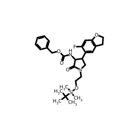 CC(C)(C)[Si](C)(C)OCCN1CC(c2cc3c(cc2F)OCC3)C(NC(=O)OCc2ccccc2)C1=O